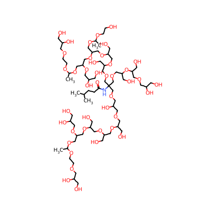 CC(C)CCC(=O)NC(COCC(O)COCC(CO)OCC(CO)OCC(CO)OCC(COC(C)OCCOCC(O)CO)OCC(O)CO)(COCC(CO)OCC(CO)OCC(COC(C)OCCO)OCC(COC(C)OCCOCC(O)CO)OCC(O)CO)COCC(CO)OC(CO)COCC(O)CO